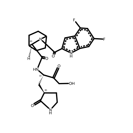 O=C1NCC[C@@H]1C[C@H](NC(=O)[C@H]1C2CCC(CC2)N1C(=O)c1cc2c(F)cc(F)cc2[nH]1)C(=O)CO